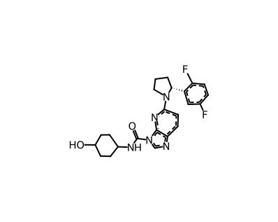 O=C(NC1CCC(O)CC1)n1cnc2ccc(N3CCC[C@@H]3c3cc(F)ccc3F)nc21